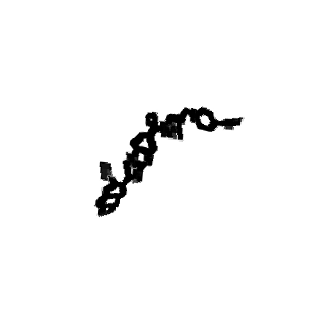 O=C(NCCCN1CCC(F)CC1)c1ccc2c(c1)sc1nc(-c3cc4c(cc3F)COC4)cn12